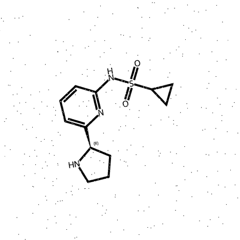 O=S(=O)(Nc1cccc([C@H]2CCCN2)n1)C1CC1